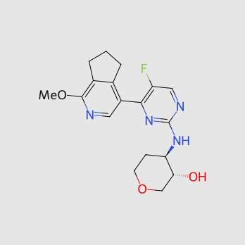 COc1ncc(-c2nc(N[C@@H]3CCOC[C@H]3O)ncc2F)c2c1CCC2